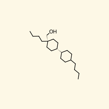 CCCCC1CCC([C@H]2CC[C@](CO)(CCCC)CC2)CC1